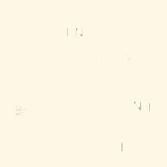 NC(=O)c1cc(Br)cc2c1NC=I2